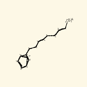 O=C(O)CCCCCCCCC1CC2C=CC1C2